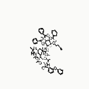 C#CCCO[C@@H]1O[C@H](CO[C@]2(C(=O)OC)C[C@H](OC(C)=O)[C@@H](NC(C)=O)[C@H]([C@H](OC(C)=O)[C@@H](CNC(=O)c3cccc(Oc4ccccc4)c3)OC(C)=O)O2)[C@H](OC(=O)c2ccccc2)[C@H](OC(=O)c2ccccc2)[C@H]1OC(=O)c1ccccc1